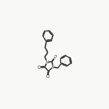 O=C1C(=O)N(Cc2ccccc2)C(=O)N1CCCc1ccccc1